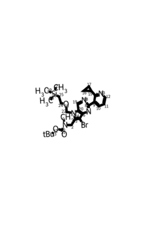 CN(Cc1c(Br)c2nc(-c3cccnc3C3CC3)ncc2n1COCC[Si](C)(C)C)C(=O)OC(C)(C)C